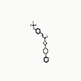 O=C(/C=C/c1ccc(SC(F)(F)F)cc1)N1CC(N2CCN(c3ccccn3)CC2)C1